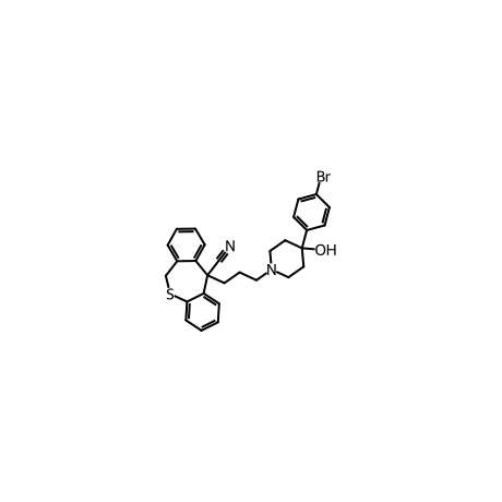 N#CC1(CCCN2CCC(O)(c3ccc(Br)cc3)CC2)c2ccccc2CSc2ccccc21